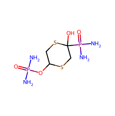 NP(N)(=O)OC1CSC(O)(P(N)(N)=O)CS1